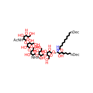 CCCCCCCCCCCCC/C=C/[C@@H](O)[C@H](CO[C@@H]1OC(CO)[C@@H](O[C@@H]2OC(CO)[C@H](O)[C@H](O[C@@H]3OC(CO)[C@@H](O[C@@H]4OC(CO)[C@H](O)[C@H](O[C@@H]5OC(CO)[C@@H](O)[C@H](O)C5NC(C)=O)C4O)[C@H](O)C3NC(C)=O)C2O)[C@H](O)C1O)NC(=O)CCCCCCCCCCCCCCCCCCC